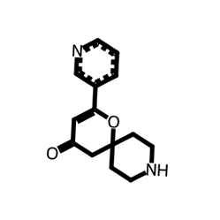 O=C1C=C(c2cccnc2)OC2(CCNCC2)C1